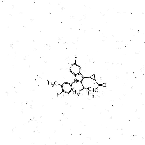 Cc1cc(-n2c(C(C)C)c(C3CC3C(=O)O)c3cc(F)ccc32)ccc1F